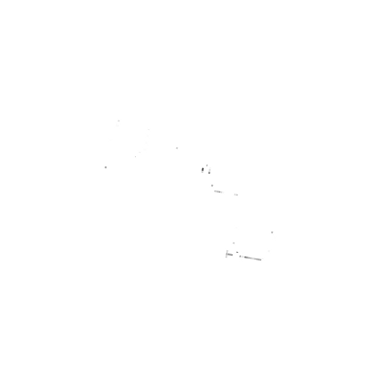 Fc1cccc(CCOCCC2[CH]NCCC2)c1